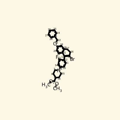 COC(OC)C1CCN(c2ccc(C3=C(Br)CCc4cc(OCc5ccccc5)ccc43)c(F)c2)CC1